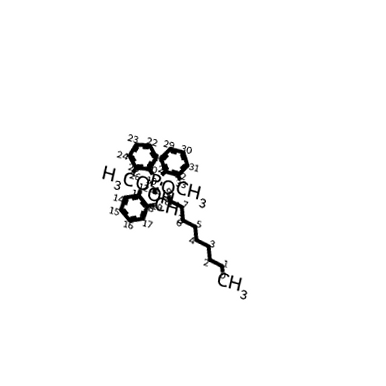 CCCCCCCCCOP(O)(Oc1ccccc1C)(c1ccccc1C)c1ccccc1C